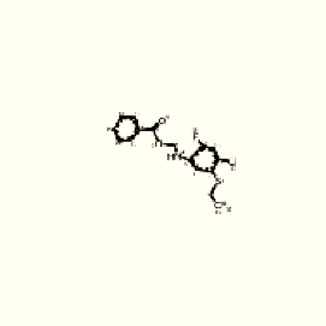 O=C(OCNc1cc(SCC(F)(F)F)c(Cl)cc1F)c1ccccc1